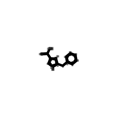 O=C(O)c1c[nH]c(Cc2ccccc2)n1